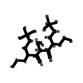 CCCC(OOC(C)(C)C)C(=O)N(N)C(=O)C(CCC)OOC(C)(C)C